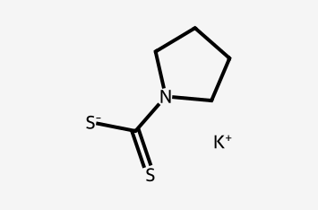 S=C([S-])N1CCCC1.[K+]